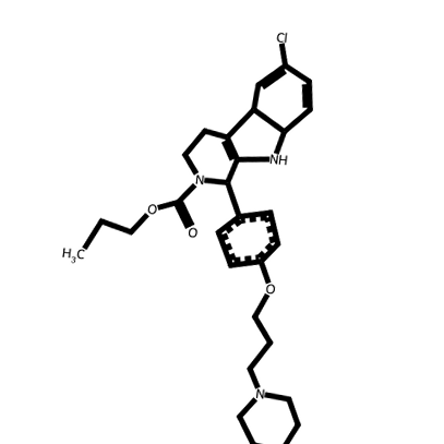 CCCOC(=O)N1CCC2=C(NC3C=CC(Cl)=CC23)C1c1ccc(OCCCN2CCOCC2)cc1